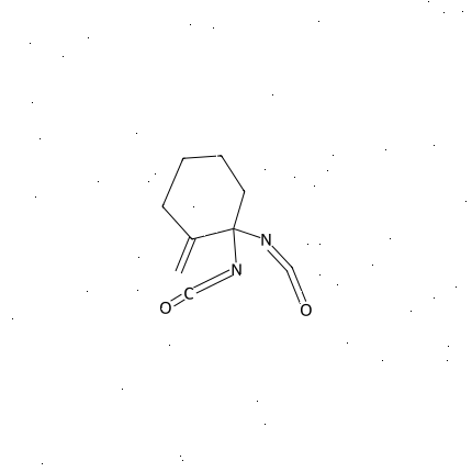 C=C1CCCCC1(N=C=O)N=C=O